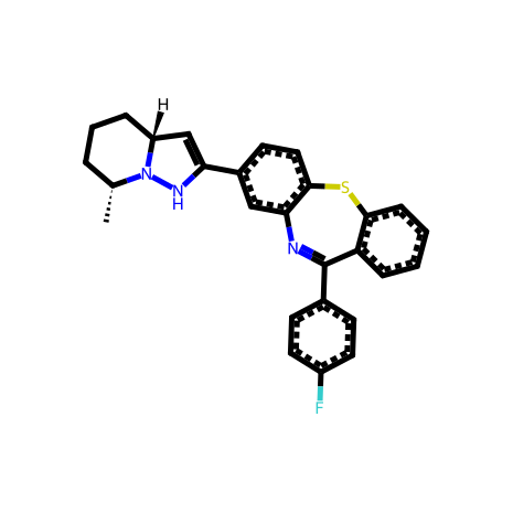 C[C@@H]1CCC[C@@H]2C=C(c3ccc4c(c3)N=C(c3ccc(F)cc3)c3ccccc3S4)NN12